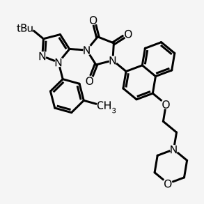 Cc1cccc(-n2nc(C(C)(C)C)cc2N2C(=O)C(=O)N(c3ccc(OCCN4CCOCC4)c4ccccc34)C2=O)c1